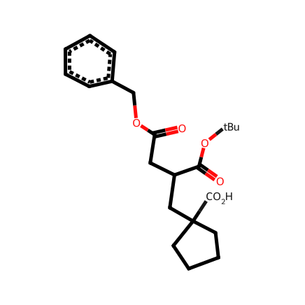 CC(C)(C)OC(=O)C(CC(=O)OCc1ccccc1)CC1(C(=O)O)CCCC1